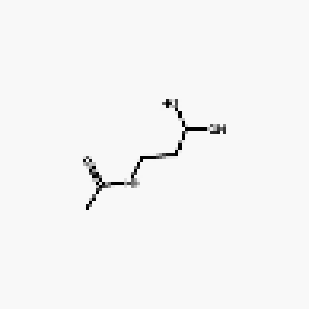 CC(=O)NCCC(O)O